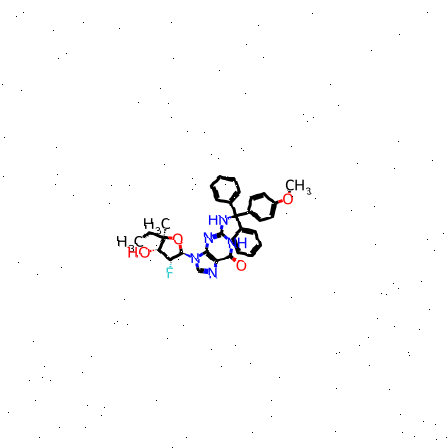 CC[C@@]1(C)O[C@@H](n2cnc3c(=O)[nH]c(NC(c4ccccc4)(c4ccccc4)c4ccc(OC)cc4)nc32)[C@H](F)[C@@H]1O